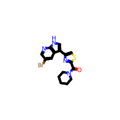 O=C(c1nc(-c2c[nH]c3ncc(Br)cc23)cs1)N1CCCCC1